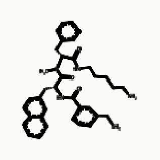 CN(C(=O)[C@@H](Cc1ccc2ccccc2c1)NC(=O)c1cccc(CN)c1)[C@H](Cc1ccccc1)C(=O)NCCCCCN